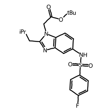 CC(C)Cc1nc2cc(NS(=O)(=O)c3ccc(F)cc3)ccc2n1CC(=O)OC(C)(C)C